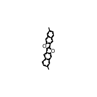 Cc1ccc2cc3c(cc2c1)oc1c2cc4ccc(C)cc4cc2oc31